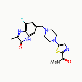 CNC(=O)c1ncc(N2CCN(Cc3cc(F)c4nc(C)c(=O)[nH]c4c3)CC2)s1